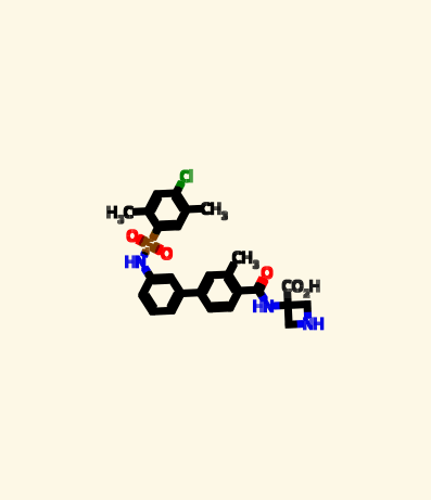 Cc1cc(S(=O)(=O)Nc2cccc(-c3ccc(C(=O)NC4(C(=O)O)CNC4)c(C)c3)c2)c(C)cc1Cl